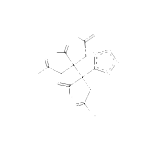 O=C(O)CC(CC(=O)O)(C(=O)O)C(CC(=O)O)(C(=O)O)c1nnn[nH]1